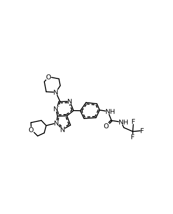 O=C(NCC(F)(F)F)Nc1ccc(-c2nc(N3CCOCC3)nc3c2cnn3C2CCOCC2)cc1